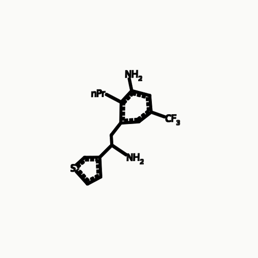 CCCc1c(N)cc(C(F)(F)F)cc1CC(N)c1ccsc1